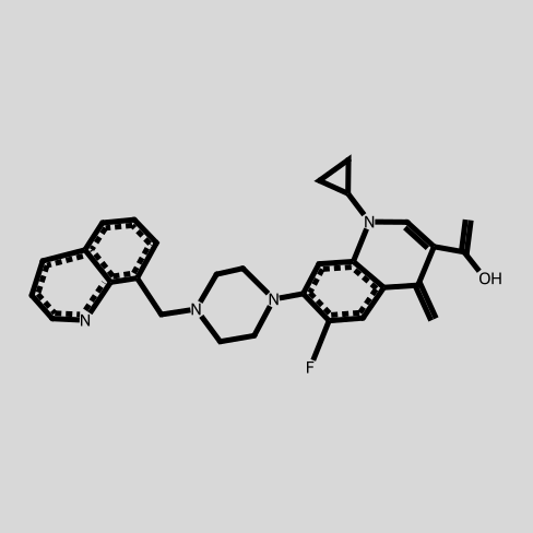 C=C(O)C1=CN(C2CC2)c2cc(N3CCN(Cc4cccc5cccnc45)CC3)c(F)cc2C1=C